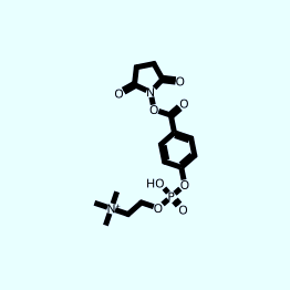 C[N+](C)(C)CCOP(=O)(O)Oc1ccc(C(=O)ON2C(=O)CCC2=O)cc1